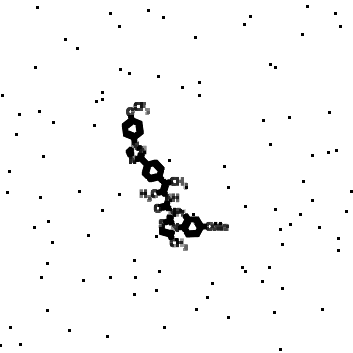 COc1ccc(-n2c(C)cs/c2=N\C(=O)N/C(C)=C(\C)c2ccc(-c3ncn(-c4ccc(OC(F)(F)F)cc4)n3)cc2)c(C(C)C)c1